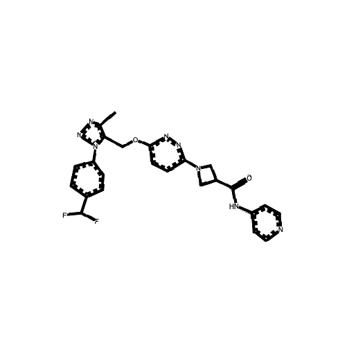 Cc1nnn(-c2ccc(C(F)F)cc2)c1COc1ccc(N2CC(C(=O)Nc3ccncc3)C2)nn1